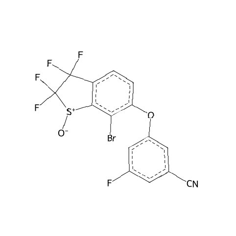 N#Cc1cc(F)cc(Oc2ccc3c(c2Br)[S+]([O-])C(F)(F)C3(F)F)c1